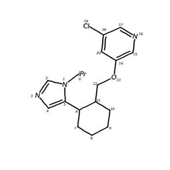 CC(C)n1cncc1C1CCCCC1COc1cncc(Cl)c1